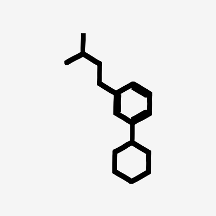 CC(C)CCc1cccc(C2CCCCC2)c1